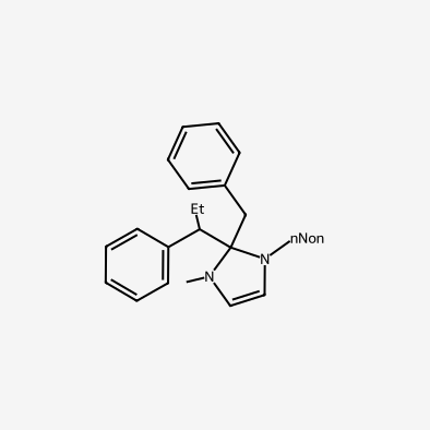 CCCCCCCCCN1C=CN(C)C1(Cc1ccccc1)C(CC)c1ccccc1